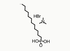 Br.CN(C)C.[CH2]CCCCCCCCCCCP(=O)(O)O